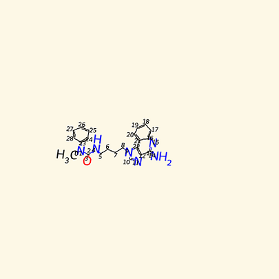 CN(C(=O)NCCCCn1cnc2c(N)nc3ccccc3c21)c1ccccc1